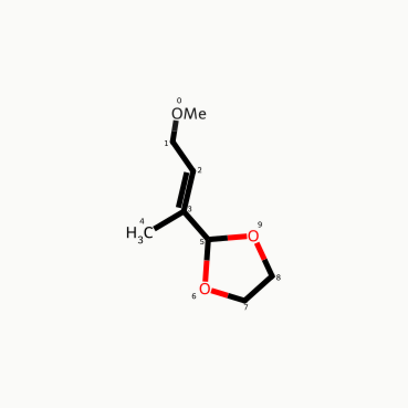 COC/C=C(\C)C1OCCO1